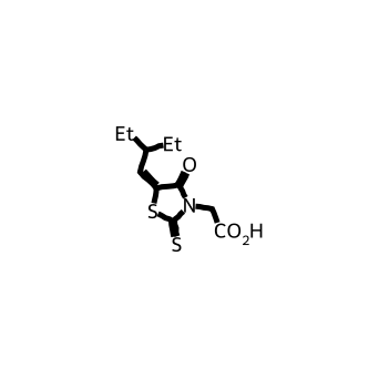 CCC(C=C1SC(=S)N(CC(=O)O)C1=O)CC